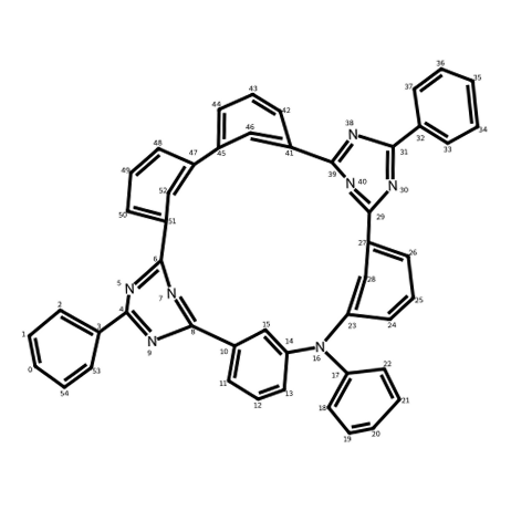 c1ccc(-c2nc3nc(n2)-c2cccc(c2)N(c2ccccc2)c2cccc(c2)-c2nc(-c4ccccc4)nc(n2)-c2cccc(c2)-c2cccc-3c2)cc1